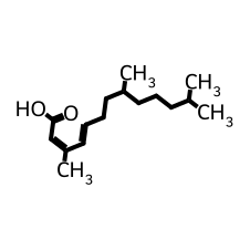 CC(C=CCCC(C)CCCC(C)C)=CC(=O)O